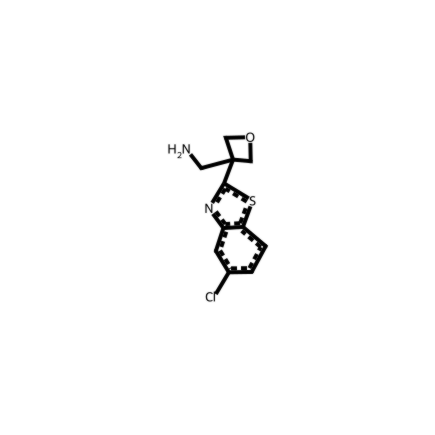 NCC1(c2nc3cc(Cl)ccc3s2)COC1